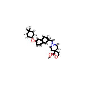 CCC1(C(=O)OC)CCN(Cc2ccc3cc(OC4CCC(C)(C)CC4)ccc3c2)CC1